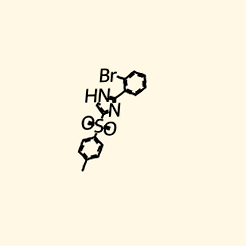 Cc1ccc(S(=O)(=O)c2c[nH]c(-c3ccccc3Br)n2)cc1